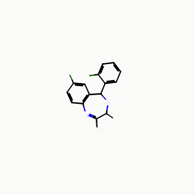 CCOC(=O)C1NC(c2ccccc2F)c2cc(Cl)ccc2N=C1OC